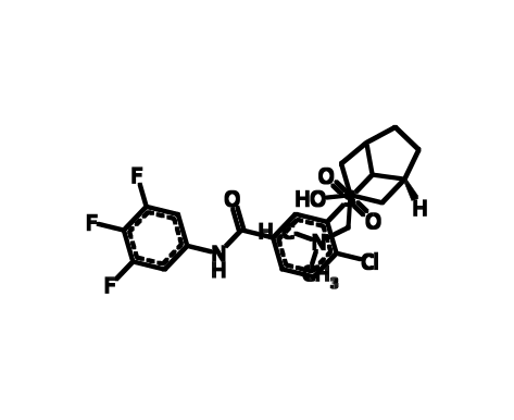 CN(C)CC1(O)CC2CC[C@H](C1)C2S(=O)(=O)c1cc(C(=O)Nc2cc(F)c(F)c(F)c2)ccc1Cl